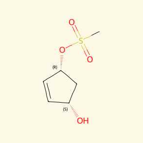 CS(=O)(=O)O[C@H]1C=C[C@@H](O)C1